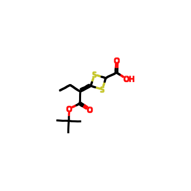 CCC(C(=O)OC(C)(C)C)=C1SC(C(=O)O)S1